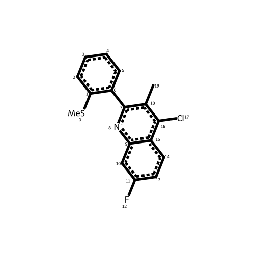 CSc1ccccc1-c1nc2cc(F)ccc2c(Cl)c1C